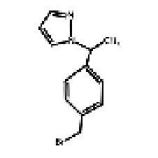 CC(c1ccc(CBr)cc1)n1cccn1